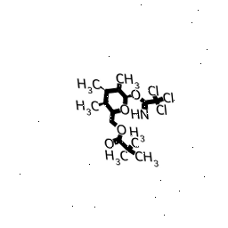 CC1[C@@H](OC(=N)C(Cl)(Cl)Cl)OC(COC(=O)C(C)(C)C)[C@@H](C)[C@@H]1C